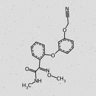 CNC(=O)/C(=N\OC)c1ccccc1Oc1cccc(OCC#N)c1